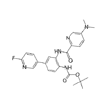 CN(C)c1ccc(C(=O)Nc2cc(-c3ccc(F)nc3)ccc2NC(=O)OC(C)(C)C)nc1